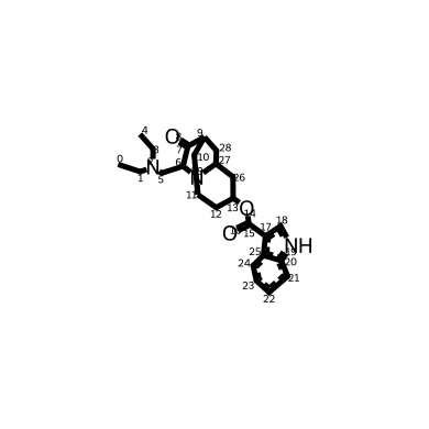 CCN(CC)CC1C(=O)C2CC3CC(OC(=O)c4c[nH]c5ccccc45)CC(C2)N31